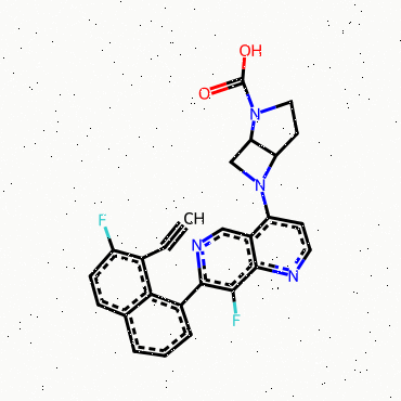 C#Cc1c(F)ccc2cccc(-c3ncc4c(N5CC6C5CCN6C(=O)O)ccnc4c3F)c12